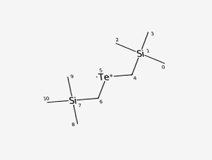 C[Si](C)(C)C[Te+]C[Si](C)(C)C